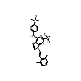 Cc1cccc(C)c1C=Cn1cnc2c(Nc3ccc(P(C)(C)=O)cc3)nc(S(C)(=O)=O)nc21